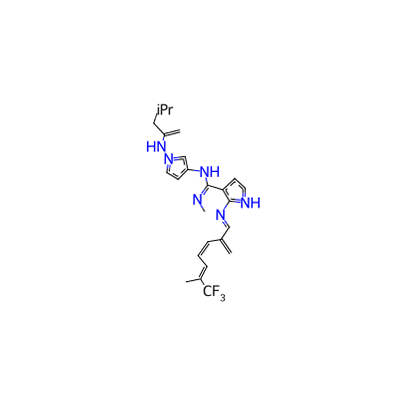 C=C(/C=C\C=C(/C)C(F)(F)F)/C=N/c1[nH]ccc1/C(=N\C)Nc1ccn(NC(=C)CC(C)C)c1